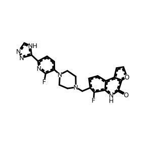 O=c1[nH]c2c(F)c(CN3CCN(c4ccc(-c5nnc[nH]5)nc4F)CC3)ccc2c2ccoc12